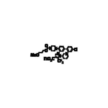 CCOC(=O)c1cnn(C2CCCN(c3cc(Cl)ccc3-c3ccc(N4CCN(C(=O)OCCCOC)CC4)cc3)C2)c1C(F)(F)F